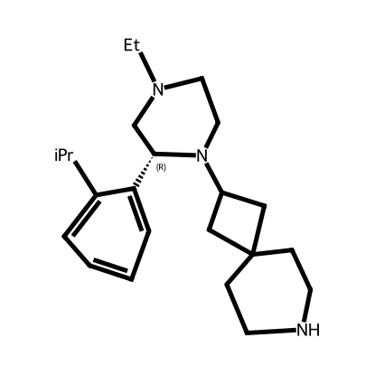 CCN1CCN(C2CC3(CCNCC3)C2)[C@H](c2ccccc2C(C)C)C1